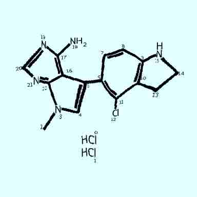 Cl.Cl.Cn1cc(-c2ccc3c(c2Cl)CCN3)c2c(N)ncnc21